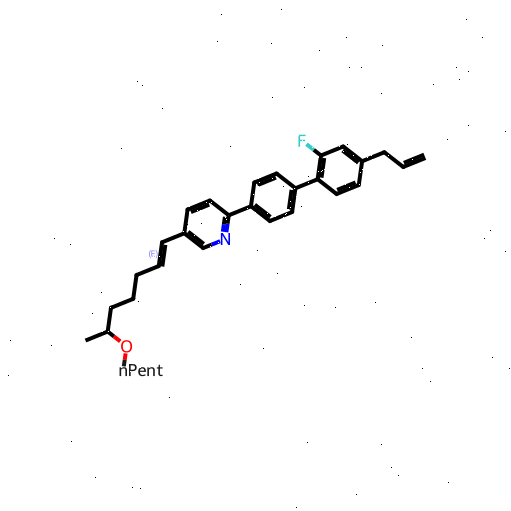 C=CCc1ccc(-c2ccc(-c3ccc(/C=C/CCCC(C)OCCCCC)cn3)cc2)c(F)c1